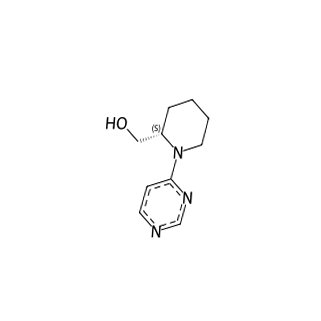 OC[C@@H]1CCCCN1c1ccncn1